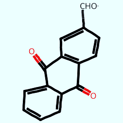 O=[C]c1ccc2c(c1)C(=O)c1ccccc1C2=O